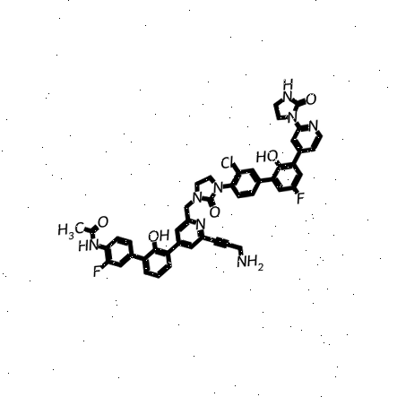 CC(=O)Nc1ccc(-c2cccc(-c3cc(C#CCN)nc(CN4CCN(c5ccc(-c6cc(F)cc(-c7ccnc(N8CCNC8=O)c7)c6O)cc5Cl)C4=O)c3)c2O)cc1F